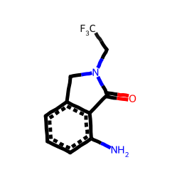 Nc1cccc2c1C(=O)N(CC(F)(F)F)C2